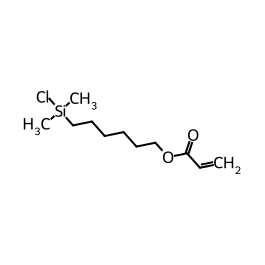 C=CC(=O)OCCCCCC[Si](C)(C)Cl